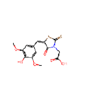 COc1cc(C=C2SC(=S)N(CC(=O)O)C2=O)cc(OC)c1O